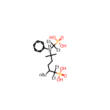 CCCCC(CCC(C)(C)[SiH](c1ccccc1)C(CC)(CC)P(=O)(O)O)C(CC)(CC)P(=O)(O)O